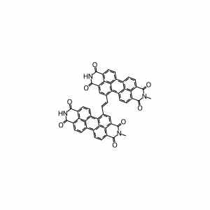 CN1C(=O)c2ccc3c4ccc5c6c(cc(/C=C/c7cc8c9c(ccc%10c%11ccc%12c%13c(ccc(c7c9%10)c%13%11)C(=O)NC%12=O)C(=O)N(C)C8=O)c(c7ccc(c2c37)C1=O)c64)C(=O)NC5=O